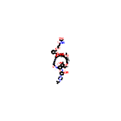 CC(=O)O[C@H]1[C@H](C)[C@H](O)[C@H](C)[C@@H](OC(=O)c2ccccc2COC(=O)CCC(=O)NC(C=O)C=O)[C@@H](C)/C=C/C=C(/C)C(=O)Nc2c3oc4cc(N5CCN(CC(C)C)CC5)cc(O)c4nc-3c3c4c(c(C)c(O)c3c2=O)O[C@](C)(O/C=C/[C@H](C)[C@H]1C)C4=O